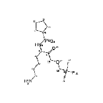 NCCCCC(NC(=O)C1CCCC1)C(=O)COCC(F)(F)F